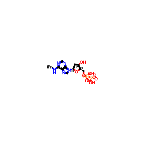 CC(C)Nc1ncnc2c1ncn2[C@H]1C[C@@H](O)[C@@H](CO[PH](O)(O)[PH]2(O)OO2)O1